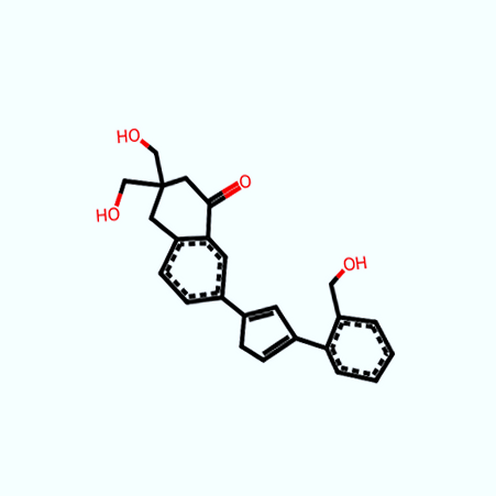 O=C1CC(CO)(CO)Cc2ccc(C3=CC(c4ccccc4CO)=CC3)cc21